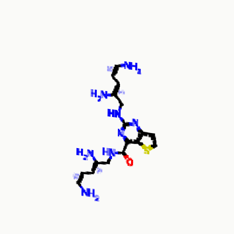 N/C=C\C=C(/N)CNC(=O)c1nc(NC/C(N)=C/C=C\N)nc2ccsc12